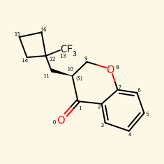 O=C1c2ccccc2OC[C@@H]1CC1(C(F)(F)F)CCC1